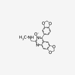 CNCc1nc2cc3c(cc2c(-c2ccc4c(c2)OCO4)[n+]1[O-])OCO3